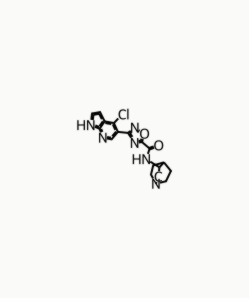 O=C(NC1CN2CCC1CC2)c1nc(-c2cnc3[nH]ccc3c2Cl)no1